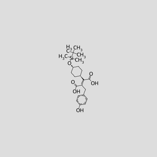 CC(C)(C)[Si](C)(C)O[C@H]1CC[C@@H](C(C(=O)O)=C(Cc2ccc(O)cc2)C(=O)O)CC1